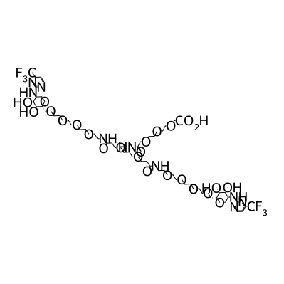 O=C(O)COCCOCCOCC(=O)NC(COCCC(=O)NCCOCCOCCOCCOC[C@H]1OC[C@H](Nc2nccc(C(F)(F)F)n2)[C@@H](O)[C@H]1O)COCCC(=O)NCCOCCOCCOCCOC[C@H]1OC[C@H](Nc2nccc(C(F)(F)F)n2)[C@@H](O)[C@H]1O